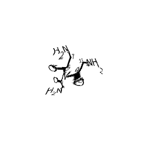 NCC(=O)N(C(=O)CN)C(=O)CN